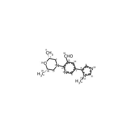 C[C@@H]1CN(c2ncc(-c3cncn3C)cc2C=O)C[C@H](C)O1